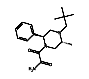 C[C@@H]1CN(C(=O)C(N)=O)[C@@H](c2ccccc2)CN1CC(C)(C)C